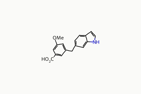 COc1cc(Cc2ccc3cc[nH]c3c2)cc(C(=O)O)c1